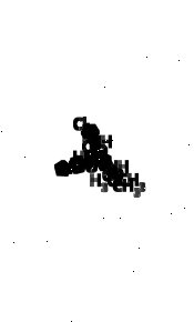 CC(C)(C)OC(=O)Nc1cnc2c(NC(=O)[C@H]3CC[C@H](N4CCCC4)CC3)c(C(=O)Nc3ccc(Cl)cn3)oc2c1